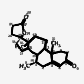 C[C@@H]1CC2=CC(=O)CCC2(C)C2CCC3(C)C(CC[C@@]34CCC(=O)O4)C21